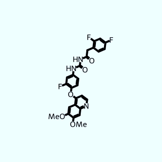 COc1cc2nccc(Oc3ccc(NC(=O)NC(=O)Cc4ccc(F)cc4F)cc3F)c2cc1OC